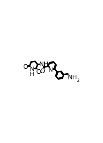 NCc1cccc(-c2cccc(C(=O)NC3CCC(=O)NC3=O)n2)c1